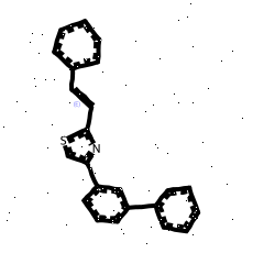 C(=C\c1nc(-c2cccc(-c3ccccc3)c2)cs1)/c1ccccc1